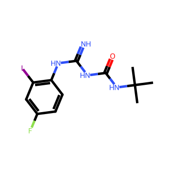 CC(C)(C)NC(=O)NC(=N)Nc1ccc(F)cc1I